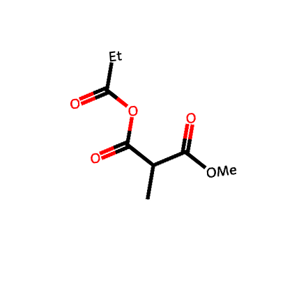 CCC(=O)OC(=O)C(C)C(=O)OC